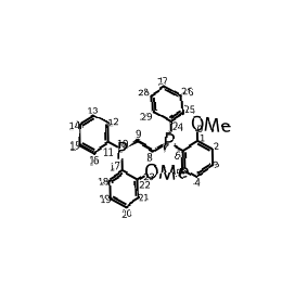 COc1ccccc1P(CC[P@](c1ccccc1)c1ccccc1OC)c1ccccc1